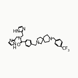 O=C(c1ccc(CN2CCC3(CCN(Cc4ccc(C(F)(F)F)cc4)CC3)C2)cc1)N(Cc1ncc[nH]1)Cc1ncc[nH]1